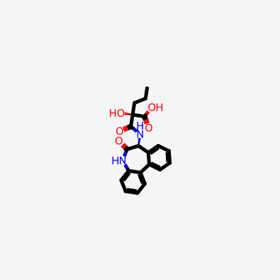 CCC[C@](O)(C(=O)O)C(=O)N[C@@H]1C(=O)Nc2ccccc2-c2ccccc21